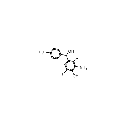 Cc1ccc(C(O)c2cc(F)c(O)c(N)c2O)cc1